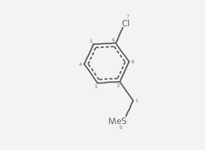 [CH2]SCc1cccc(Cl)c1